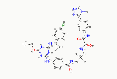 Cn1cnnc1-c1ccc(NC(=O)C(=O)NCC(C)(C)CNC(=O)c2ccc(Nc3nc(NC4(c5ccc(Cl)cc5)CC4)nc(OCC(F)(F)F)n3)cc2)cc1